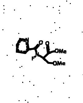 COCC(C(=O)OC)N(F)C(=O)c1ccccn1